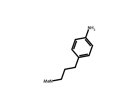 CNCCCc1ccc(N)cc1